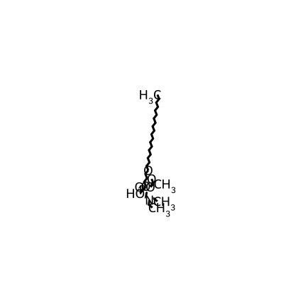 CCCCCCCCCCCCCCCCCCCOCC(COP(=O)(O)CCN(CC)CC)OC(C)=O